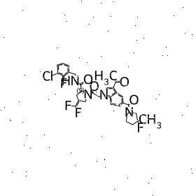 CC(=O)c1cn(CC(=O)N2CC(=C(F)F)C[C@H]2C(=O)NCc2cccc(Cl)c2F)c2ccc(C(=O)N3CCCC(C)(F)C3)cc12